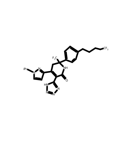 CC(C)n1ccc(C2=C(c3nnn[nH]3)C(=O)NC(c3ccc(CCCCC(F)(F)F)cc3)(C(F)(F)F)C2)n1